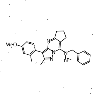 CCCN(Cc1ccccc1)c1c2c(nc3c(-c4ccc(OC)cc4C)c(C)nn13)CCC2